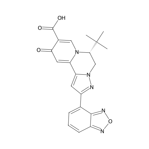 CC(C)(C)[C@@H]1Cn2nc(-c3cccc4nonc34)cc2-c2cc(=O)c(C(=O)O)cn21